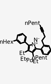 CCCCCC#CCCc1ccccc1C1=C(CCCCC)C(CC)=C(c2cccc(CCCCCC)c2)[N+]1=[N-].C[CH2][Pd][CH2]C